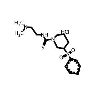 CN(C)CCNC(=S)N1CCCC(S(=O)(=O)c2ccccc2)C1.Cl